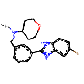 CN(Cc1cccc(-c2nc3cc(Br)ccc3[nH]2)c1)C1CCOCC1